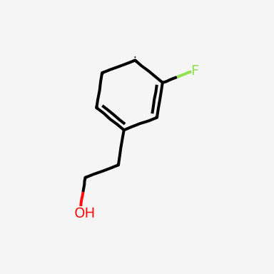 OCCC1=CC[CH]C(F)=C1